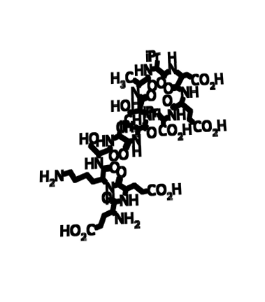 CC(NC(=O)C(CO)NC(=O)C(CCCCN)NC(=O)C(CCC(=O)O)NC(=O)C(N)CCC(=O)O)C(=O)NC(C(=O)NC(C(=O)NC(C)C(=O)NC(C(=O)NC(CC(=O)O)C(=O)NC(CCC(=O)O)C(=O)NC(C(=O)O)C(C)C)C(C)C)C(C)O)C(C)C